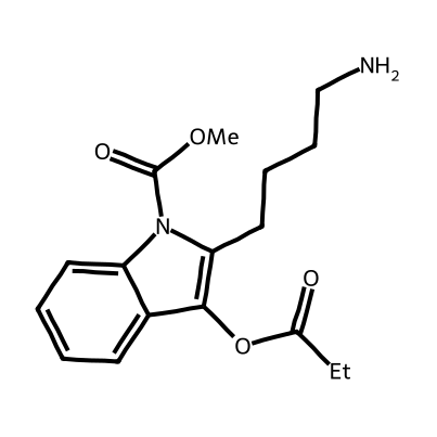 CCC(=O)Oc1c(CCCCN)n(C(=O)OC)c2ccccc12